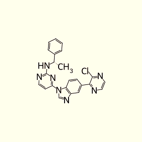 C[C@H](Nc1nccc(-n2cnc3cc(-c4nccnc4Cl)ccc32)n1)c1ccccc1